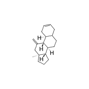 C=C1C[C@]2(C)CCC[C@H]2[C@@H]2CCC3CC=CC[C@@H]3[C@@H]12